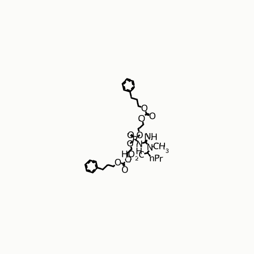 CCCC(C(=O)O)N(C)C(=N)NP(=O)(OCCOC(=O)OCCCc1ccccc1)OCCOC(=O)OCCCc1ccccc1